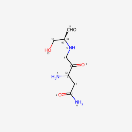 NC(=O)C[C@H](N)C(=O)CN[C@H](C=O)CO